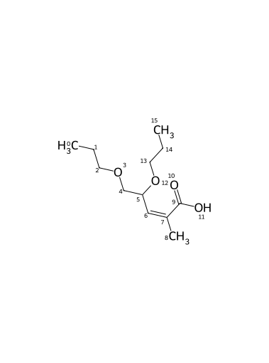 CCCOCC(C=C(C)C(=O)O)OCCC